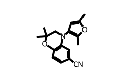 Cc1cc(N2CC(C)(C)Oc3ccc(C#N)cc32)c(C)o1